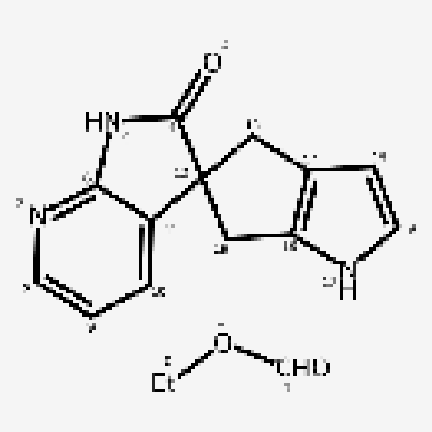 CCOC=O.O=C1Nc2ncccc2C12Cc1cc[nH]c1C2